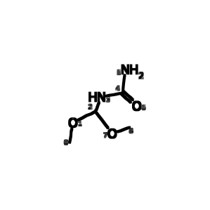 COC(NC(N)=O)OC